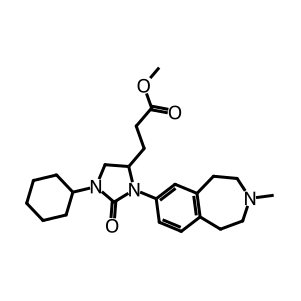 COC(=O)CCC1CN(C2CCCCC2)C(=O)N1c1ccc2c(c1)CCN(C)CC2